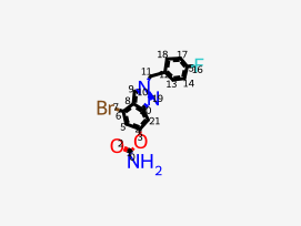 NC(=O)Oc1cc(Br)c2cn(Cc3ccc(F)cc3)nc2c1